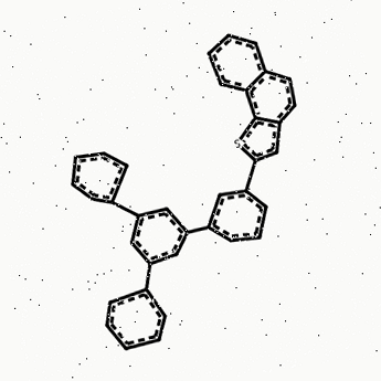 c1ccc(-c2cc(-c3ccccc3)cc(-c3cccc(-c4cc5ccc6ccccc6c5s4)c3)c2)cc1